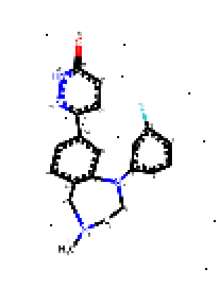 CN1CCN(c2cccc(F)c2)c2cc(-c3ccc(=O)[nH]n3)ccc2C1